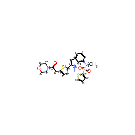 CN(c1cccc2cc(-c3ncc(CC(=O)N4CCOCC4)s3)[nH]c12)S(=O)(=O)c1cccs1